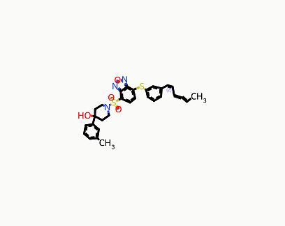 CC=C=C/C=C\c1cccc(Sc2ccc(S(=O)(=O)N3CCC(O)(c4cccc(C)c4)CC3)c3nonc23)c1